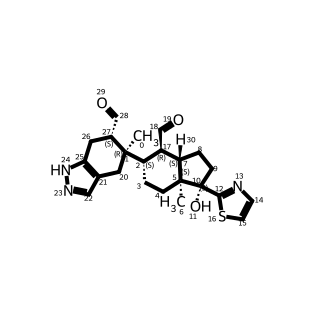 C[C@]1([C@H]2CC[C@@]3(C)[C@@H](CC[C@@]3(O)c3nccs3)[C@@H]2C=O)Cc2cn[nH]c2C[C@@H]1C=O